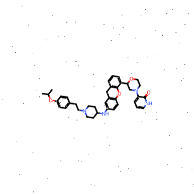 CC(C)Oc1ccc(CCN2CCC(Nc3ccc4c(c3)Cc3cccc(C5CN(c6ccc[nH]c6=O)CCO5)c3O4)CC2)cc1